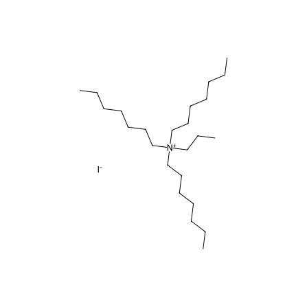 CCCCCCC[N+](CCC)(CCCCCCC)CCCCCCC.[I-]